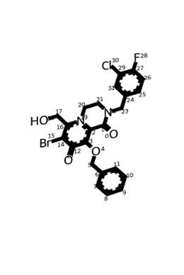 O=C1c2c(OCc3ccccc3)c(=O)c(Br)c(CO)n2CCN1Cc1ccc(F)c(Cl)c1